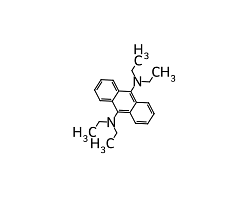 CCN(CC)c1c2ccccc2c(N(CC)CC)c2ccccc12